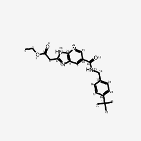 CCOC(=O)Cc1nc2cc(C(=O)NCc3ccc(C(C)(C)C)cc3)cnc2[nH]1